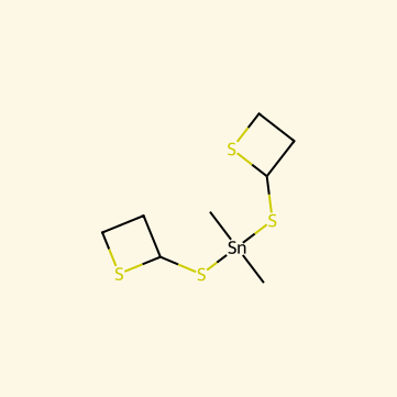 [CH3][Sn]([CH3])([S]C1CCS1)[S]C1CCS1